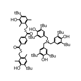 CC(C)(C)c1cc(CN(Cc2cc(C(C)(C)C)c(O)c(C(C)(C)C)c2)Cc2cc(C(C)(C)C)c(O)c(C(C)(C)C)c2)cc(C(C)(C)C)c1O.Cc1cc(C(C)(C)C)c(O)c(C)c1CSC(=O)c1ccc(C(=O)SCc2c(C)cc(C(C)(C)C)c(O)c2C)cc1